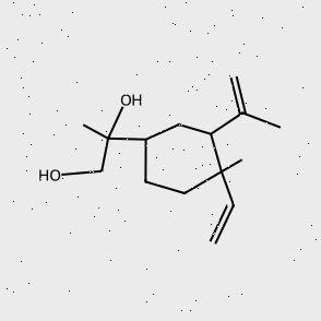 C=CC1(C)CCC(C(C)(O)CO)CC1C(=C)C